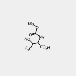 CC(C)(C)OC(=O)NC(C(=O)O)C(O)C(F)(F)F